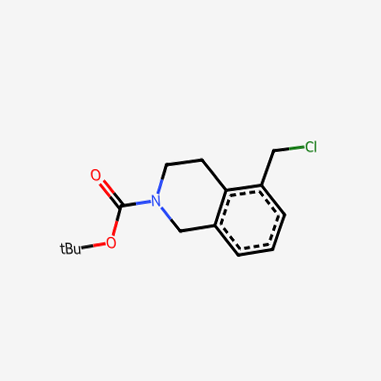 CC(C)(C)OC(=O)N1CCc2c(CCl)cccc2C1